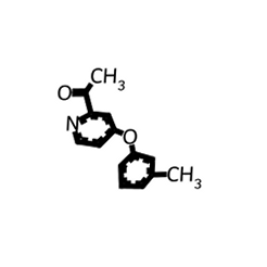 CC(=O)c1cc(Oc2cccc(C)c2)ccn1